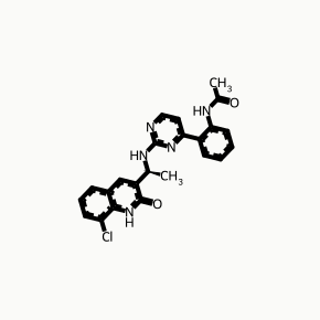 CC(=O)Nc1ccccc1-c1ccnc(N[C@@H](C)c2cc3cccc(Cl)c3[nH]c2=O)n1